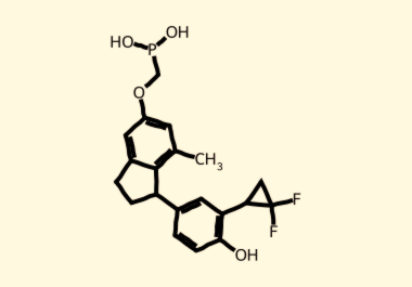 Cc1cc(OCP(O)O)cc2c1C(c1ccc(O)c(C3CC3(F)F)c1)CC2